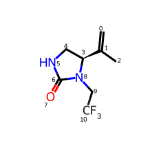 C=C(C)[C@@H]1CNC(=O)N1CC(F)(F)F